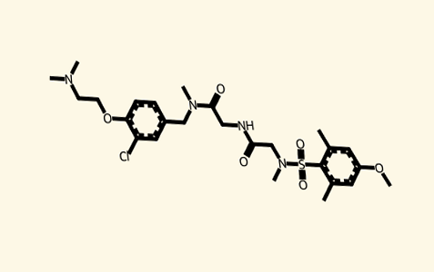 COc1cc(C)c(S(=O)(=O)N(C)CC(=O)NCC(=O)N(C)Cc2ccc(OCCN(C)C)c(Cl)c2)c(C)c1